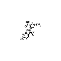 C[C@@H]1C[C@@H](C(=O)O)N(C(=O)C2(c3ccc(Cl)cc3)CC2)C1